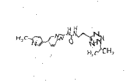 Cc1ccc(-c2ccc3nc(NC(=O)NCCc4nnn(C(C)C)n4)cn3c2)cn1